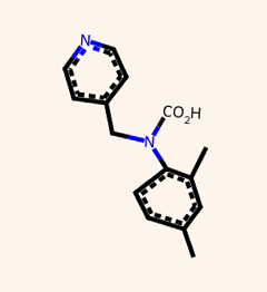 Cc1ccc(N(Cc2ccncc2)C(=O)O)c(C)c1